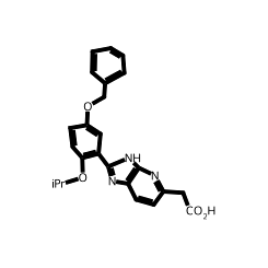 CC(C)Oc1ccc(OCc2ccccc2)cc1-c1nc2ccc(CC(=O)O)nc2[nH]1